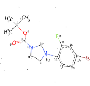 CC(C)(C)OC(=O)N1CCN(c2ccc(Br)cc2F)C1